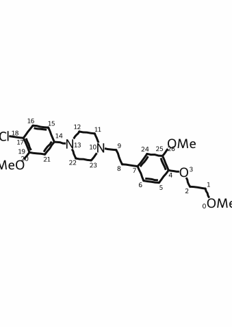 COCCOc1ccc(CCN2CCN(c3ccc(Cl)c(OC)c3)CC2)cc1OC